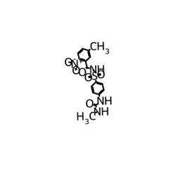 CNC(=O)Nc1ccc(S(=O)(=O)NC(=O)c2cc(C)ccc2[N+](=O)[O-])cc1